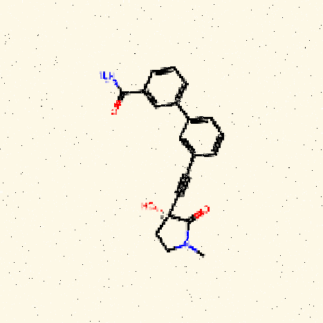 CN1CC[C@@](O)(C#Cc2cccc(-c3cccc(C(N)=O)c3)c2)C1=O